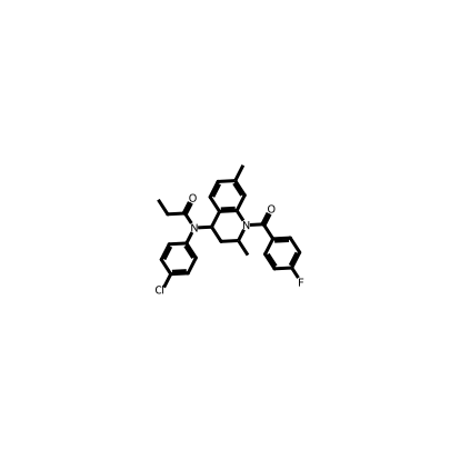 CCC(=O)N(c1ccc(Cl)cc1)C1CC(C)N(C(=O)c2ccc(F)cc2)c2cc(C)ccc21